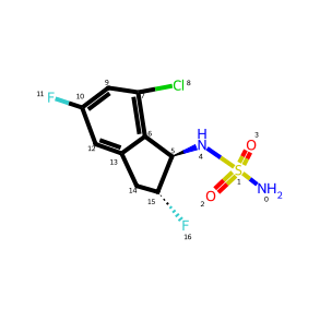 NS(=O)(=O)N[C@@H]1c2c(Cl)cc(F)cc2C[C@H]1F